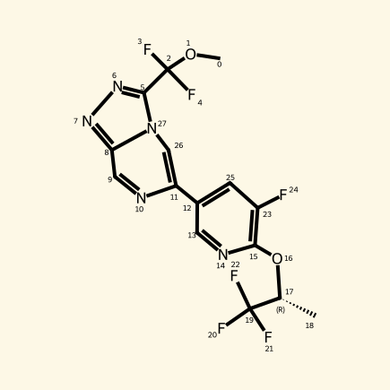 COC(F)(F)c1nnc2cnc(-c3cnc(O[C@H](C)C(F)(F)F)c(F)c3)cn12